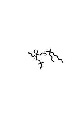 C=CCN(CCC(C)(C)CC)C(=O)CCSCC(C)(CCCC)CCCCCC